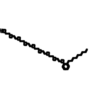 CCCCCCCCCc1ccccc1OCCOCCOCCOCCOCCOCCOCCOCCO